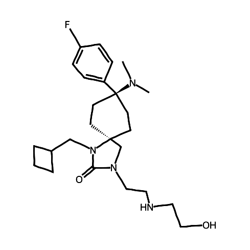 CN(C)[C@]1(c2ccc(F)cc2)CC[C@]2(CC1)CN(CCNCCO)C(=O)N2CC1CCC1